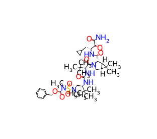 CN(C[C@@H](NC(=O)N[C@H](C(=O)N1C[C@H]2[C@@H]([C@H]1C(=O)N[C@H](CC1CC1)C(=O)C(N)=O)C2(C)C)C(C)(C)C)C(C)(C)C)S(=O)(=O)N(C)C(=O)OCc1ccccc1